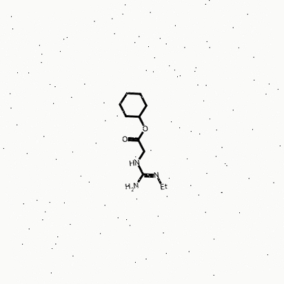 CCN=C(N)NCC(=O)OC1CCCCC1